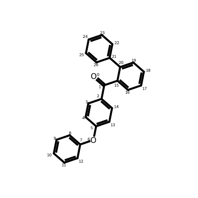 O=C(c1ccc(Oc2ccccc2)cc1)c1ccccc1-c1ccccc1